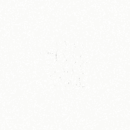 COC([SiH3])COCCO.COCCOCCO.COCCOCCO.COCCOCCO